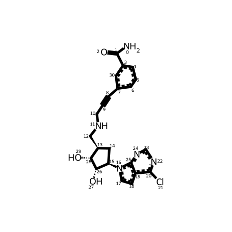 NC(=O)c1cccc(C#CCNC[C@H]2C[C@@H](n3ccc4c(Cl)ncnc43)[C@H](O)[C@@H]2O)c1